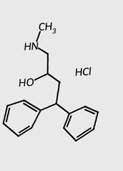 CNCC(O)CC(c1ccccc1)c1ccccc1.Cl